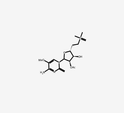 C=C1N=C(N)C(OC)=CN1C1O[C@H](CCP(=C)(C)C)[C@@H](O)[C@H]1OC(C)=O